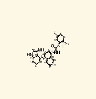 Cc1ccc(F)c(NC(=O)Nc2ccc(C3=CC=CC4NN=C(N)C34)c3ccccc23)c1